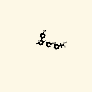 COc1ccc(-c2nc(C)ccc2Oc2ccnc(Nc3cccc(C(C)(C)C(=O)O)c3)c2)cc1